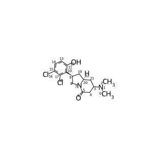 CN(C)C1CC(=O)N2C[C@@H](c3c(O)ccc(Cl)c3Cl)C[C@H]2C1